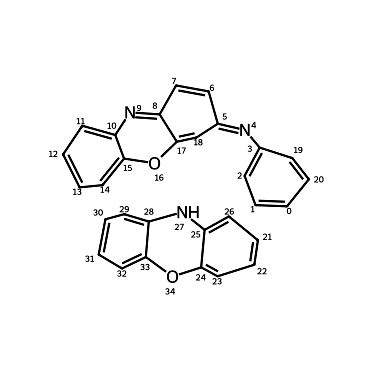 c1ccc(/N=c2/ccc3nc4ccccc4oc-3c2)cc1.c1ccc2c(c1)Nc1ccccc1O2